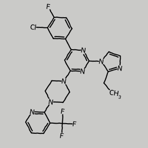 CCc1nccn1-c1nc(-c2ccc(F)c(Cl)c2)cc(N2CCN(c3ncccc3C(F)(F)F)CC2)n1